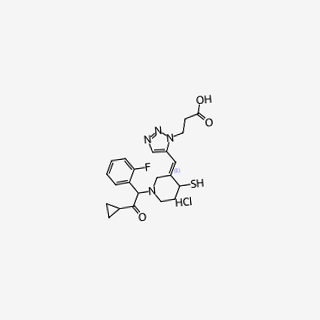 Cl.O=C(O)CCn1nncc1/C=C1\CN(C(C(=O)C2CC2)c2ccccc2F)CCC1S